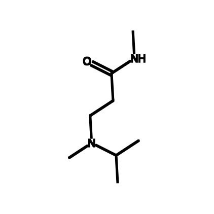 CNC(=O)CCN(C)C(C)C